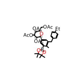 CCc1ccc(Cc2cc([C@@H]3O[C@H](COC(C)=O)[C@@H](OC(C)=O)[C@H](OC(C)=O)[C@H]3OC(C)=O)cc(B3OC(C)(C)C(C)(C)O3)c2C)cc1